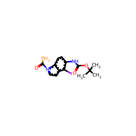 CC(C)(C)OC(=O)Nc1ccc2c(ccn2C(=O)P)c1I